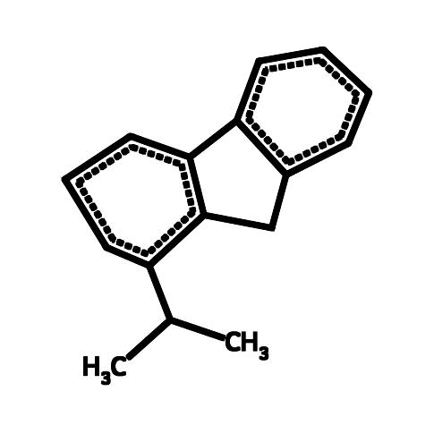 CC(C)c1cccc2c1Cc1ccccc1-2